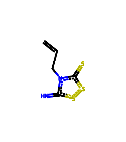 C=CCn1c(=N)ssc1=S